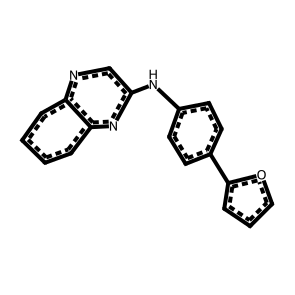 c1coc(-c2ccc(Nc3cnc4ccccc4n3)cc2)c1